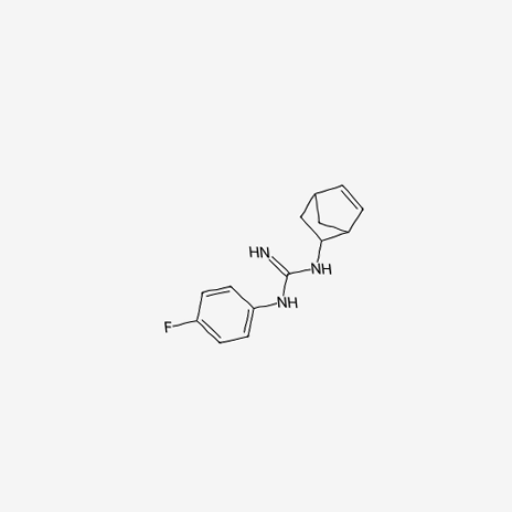 N=C(Nc1ccc(F)cc1)NC1CC2C=CC1C2